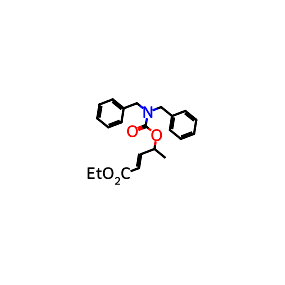 CCOC(=O)/C=C/C(C)OC(=O)N(Cc1ccccc1)Cc1ccccc1